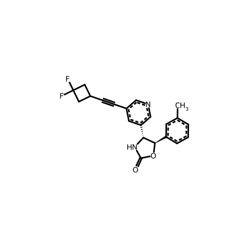 Cc1cccc([C@H]2OC(=O)N[C@@H]2c2cncc(C#CC3CC(F)(F)C3)c2)c1